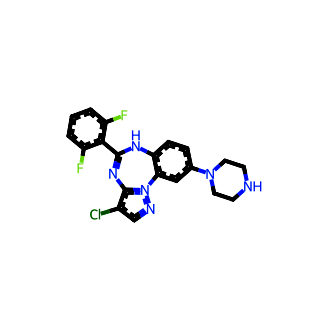 Fc1cccc(F)c1C1=Nc2c(Cl)cnn2-c2cc(N3CCNCC3)ccc2N1